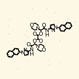 O=C(OC(C(=O)Nc1ccn(-c2ccc3ccccc3c2)n1)N1CCOCC1)C(=O)OC(C(=O)Nc1ccn(-c2ccc3ccccc3c2)n1)N1CCOCC1